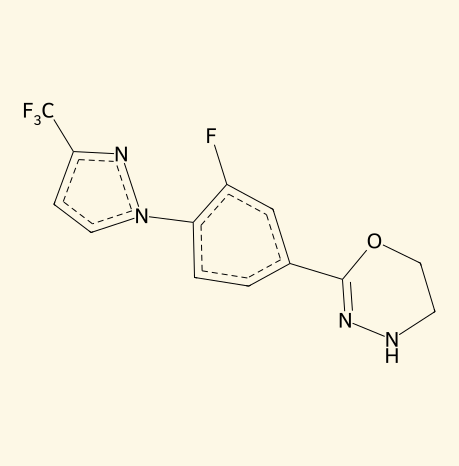 Fc1cc(C2=NNCCO2)ccc1-n1ccc(C(F)(F)F)n1